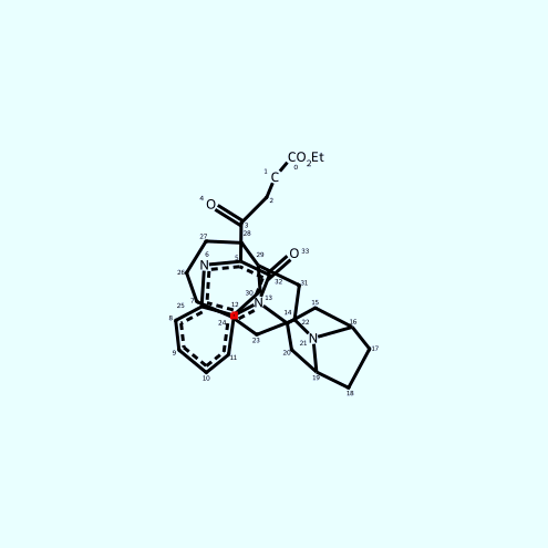 CCOC(=O)CCC(=O)c1nc2ccccc2n(C2CC3CCC(C2)N3C2CC3CCCCC(C3)C2)c1=O